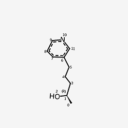 C[C@@H](O)CCCc1cccnc1